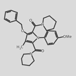 COc1ccc(-n2c(C(=O)N3CCCCC3)c(C)c(OCc3ccccc3)c2C(=O)N2CCCCC2)cc1